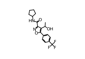 CC(O)c1c(C(=O)NC2CCCC2)noc1-c1ccc(C(F)(F)F)cc1